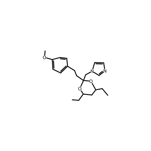 CCC1CC(CC)OC(CCc2ccc(OC)cc2)(Cn2ccnc2)O1